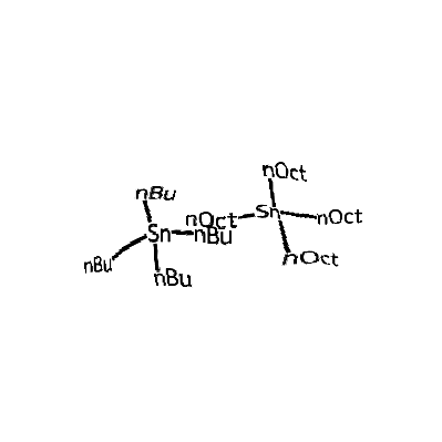 CCCCCCC[CH2][Sn]([CH2]CCCCCCC)([CH2]CCCCCCC)[CH2]CCCCCCC.CCC[CH2][Sn]([CH2]CCC)([CH2]CCC)[CH2]CCC